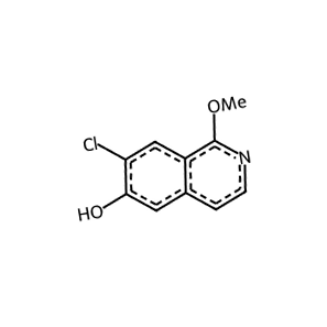 COc1nccc2cc(O)c(Cl)cc12